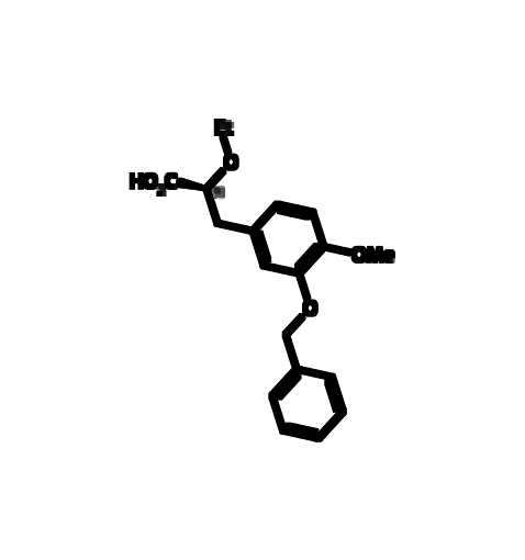 CCO[C@@H](Cc1ccc(OC)c(OCc2ccccc2)c1)C(=O)O